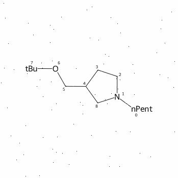 CCCCCN1CCC(COC(C)(C)C)C1